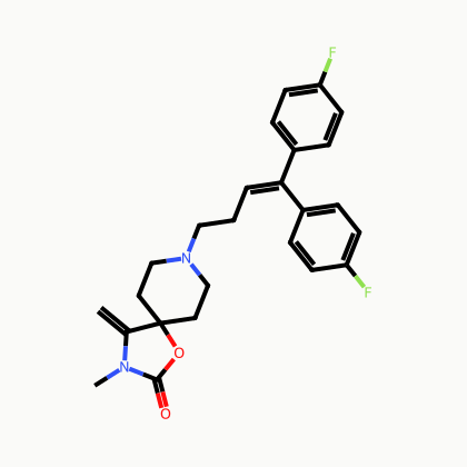 C=C1N(C)C(=O)OC12CCN(CCC=C(c1ccc(F)cc1)c1ccc(F)cc1)CC2